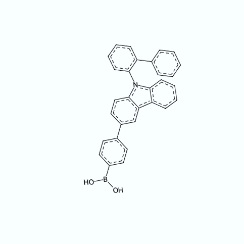 OB(O)c1ccc(-c2ccc3c(c2)c2ccccc2n3-c2ccccc2-c2ccccc2)cc1